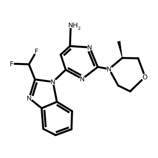 C[C@H]1COCCN1c1nc(N)cc(-n2c(C(F)F)nc3ccccc32)n1